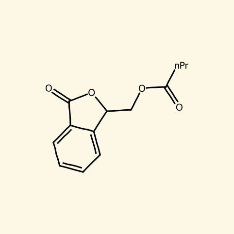 CCCC(=O)OCC1OC(=O)c2ccccc21